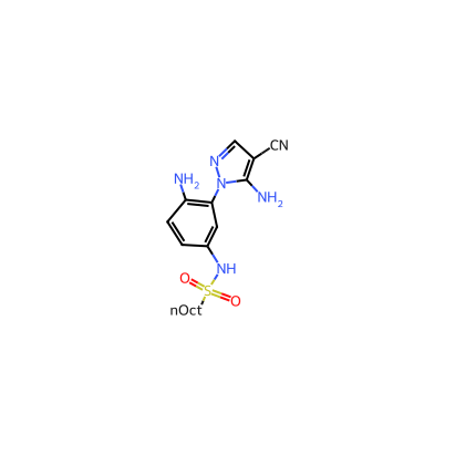 CCCCCCCCS(=O)(=O)Nc1ccc(N)c(-n2ncc(C#N)c2N)c1